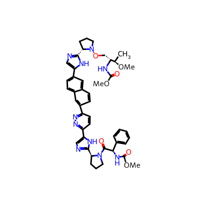 COC(=O)N[C@@H](C(=O)N1CCC[C@H]1c1ncc(-c2ccc(-c3ccc4cc(-c5cnc([C@@H]6CCCN6OC[C@@H](NC(=O)OC)[C@@H](C)OC)[nH]5)ccc4c3)nn2)[nH]1)c1ccccc1